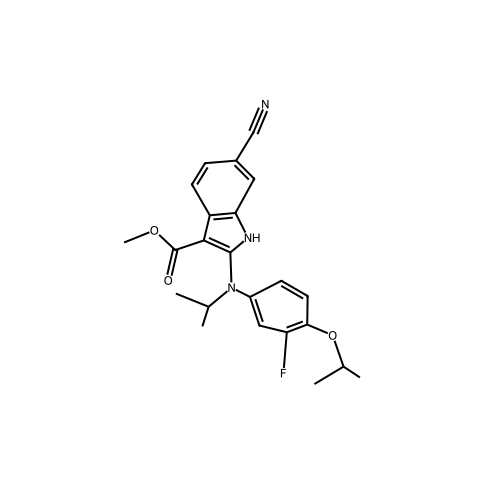 COC(=O)c1c(N(c2ccc(OC(C)C)c(F)c2)C(C)C)[nH]c2cc(C#N)ccc12